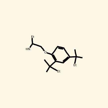 CCC([NH])COc1ccc(C(C)(C)CC)cc1C(C)(C)CC